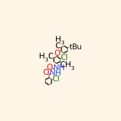 Cc1cc(C(C)(C)C)ccc1Oc1c(C)cc(NC(=O)NC(=O)c2ccccc2Cl)c(C)c1Cl